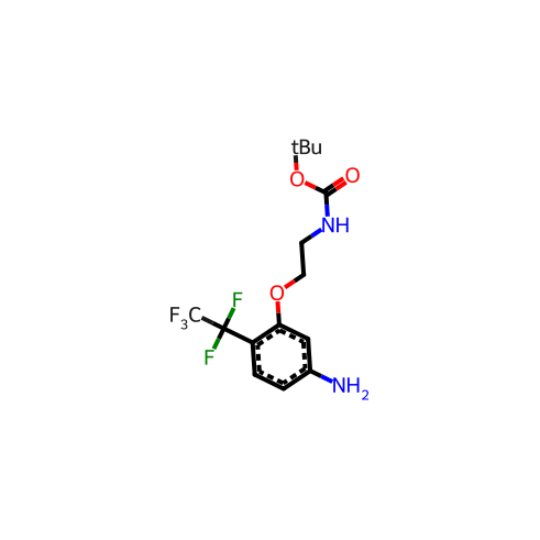 CC(C)(C)OC(=O)NCCOc1cc(N)ccc1C(F)(F)C(F)(F)F